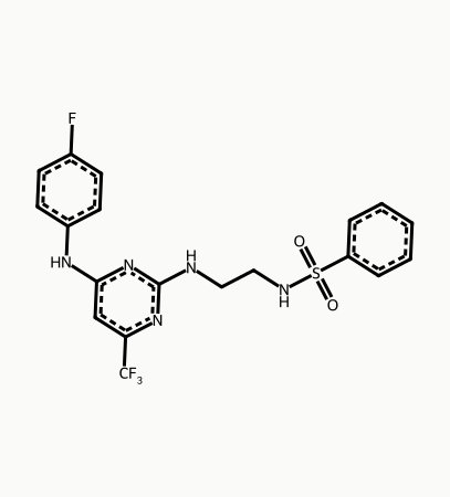 O=S(=O)(NCCNc1nc(Nc2ccc(F)cc2)cc(C(F)(F)F)n1)c1ccccc1